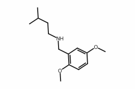 COc1ccc(OC)c(CNCCC(C)C)c1